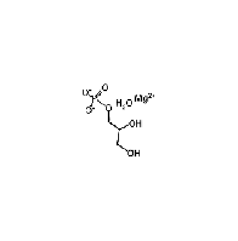 O.O=P([O-])([O-])OCC(O)CO.[Mg+2]